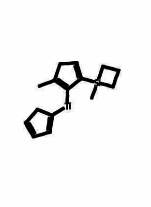 CC1=[C]([Ti][C]2=CC=CC2)C([Si]2(C)CCC2)=CC1